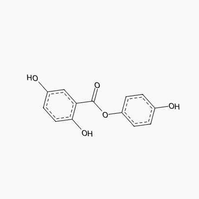 O=C(Oc1ccc(O)cc1)c1cc(O)ccc1O